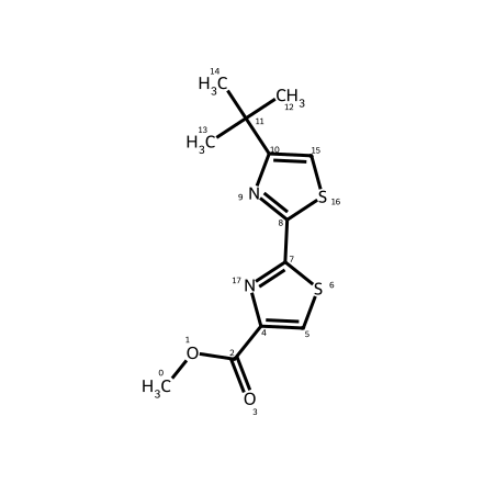 COC(=O)c1csc(-c2nc(C(C)(C)C)cs2)n1